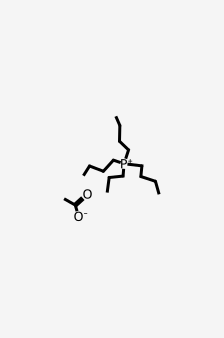 CC(=O)[O-].CCCC[P+](CCC)(CCCC)CCCC